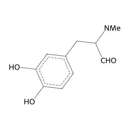 CNC(C=O)Cc1ccc(O)c(O)c1